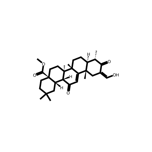 COC(=O)[C@]12CCC(C)(C)C[C@H]1[C@H]1C(=O)C=C3[C@@]4(C)C/C(=C/O)C(=O)[C@@H](C)[C@@H]4CC[C@@]3(C)[C@]1(C)CC2